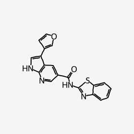 O=C(Nc1nc2ccccc2s1)c1cnc2[nH]cc(-c3ccoc3)c2c1